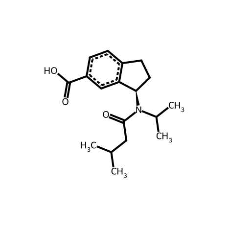 CC(C)CC(=O)N(C(C)C)[C@@H]1CCc2ccc(C(=O)O)cc21